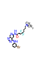 CN(C)CCCCC(F)(F)C=CC(=O)Nc1cc2c(Nc3cccc(Br)c3)ncnc2cn1